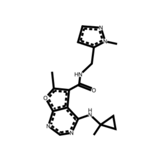 Cc1oc2ncnc(NC3(C)CC3)c2c1C(=O)NCc1ccnn1C